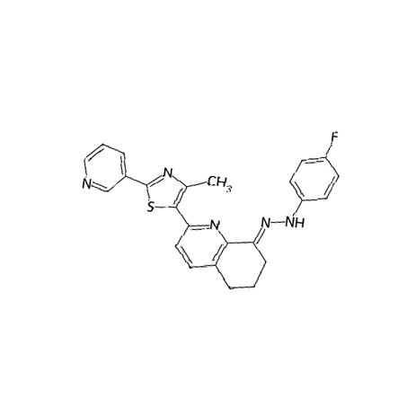 Cc1nc(-c2cccnc2)sc1-c1ccc2c(n1)/C(=N/Nc1ccc(F)cc1)CCC2